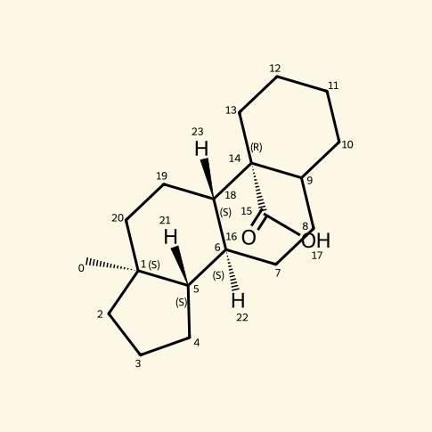 C[C@@]12CCC[C@H]1[C@@H]1CCC3CCCC[C@]3(C(=O)O)[C@H]1CC2